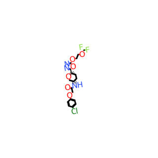 O=C(COc1ccc(Cl)cc1)N[C@H]1CC[C@H](c2nnc(OCCOC(F)F)o2)OC1